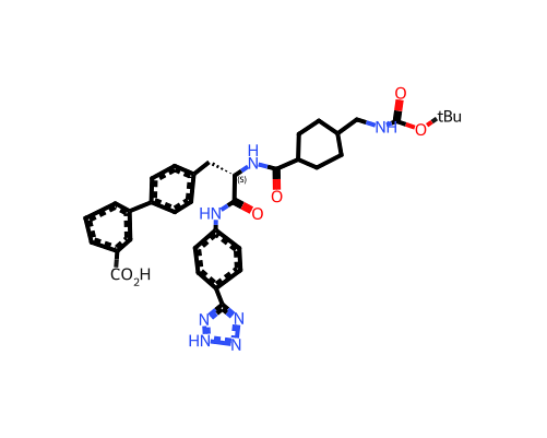 CC(C)(C)OC(=O)NCC1CCC(C(=O)N[C@@H](Cc2ccc(-c3cccc(C(=O)O)c3)cc2)C(=O)Nc2ccc(-c3nn[nH]n3)cc2)CC1